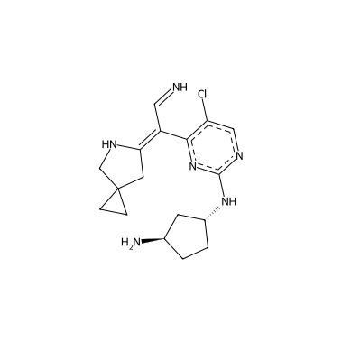 N=C/C(=C1/CC2(CC2)CN1)c1nc(N[C@@H]2CC[C@@H](N)C2)ncc1Cl